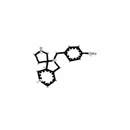 COc1ccc(CN2Cc3ccncc3C23CCNC3)cc1